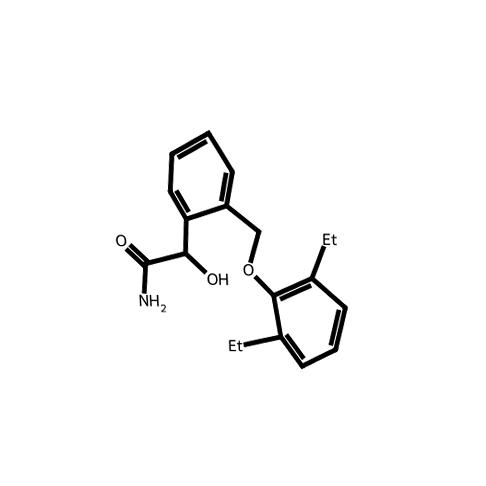 CCc1cccc(CC)c1OCc1ccccc1C(O)C(N)=O